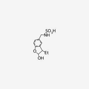 CCC1c2cc(CNS(=O)(=O)O)ccc2OC1O